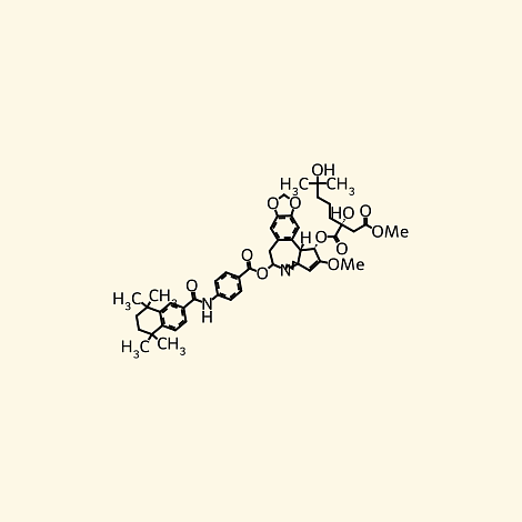 COC(=O)C[C@](O)(CCCC(C)(C)O)C(=O)O[C@@H]1C(OC)=C[C@]23CCCN2C(OC(=O)c2ccc(NC(=O)c4ccc5c(c4)C(C)(C)CCC5(C)C)cc2)Cc2cc4c(cc2[C@H]13)OCO4